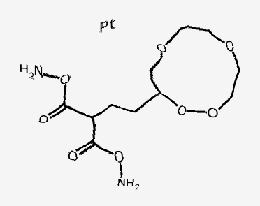 NOC(=O)C(CCC1COCCOCCOO1)C(=O)ON.[Pt]